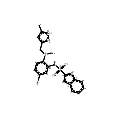 Cc1cc(C[S+]([O-])c2ccc(Cl)cc2NS(=O)(=O)c2cc3ccccc3o2)n[nH]1